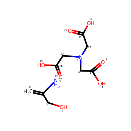 C=C(N)CO.O=C(O)CN(CC(=O)O)CC(=O)O